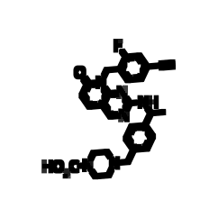 C#Cc1ccc(Cn2c(=O)ccc3cnc(NC(C)c4ccc(CN5CCN(C(=O)O)CC5)cc4)nc32)c(F)c1